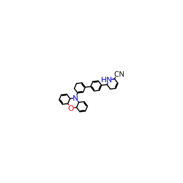 N#CC1C=CCC(c2ccc(C3=CCCC(N4C5C=CC=CC5OC5C=CC=CC54)=C3)cc2)N1